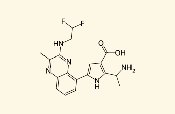 Cc1nc2cccc(-c3cc(C(=O)O)c(C(C)N)[nH]3)c2nc1NCC(F)F